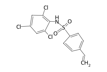 C=Cc1ccc(S(=O)(=O)Nc2c(Cl)cc(Cl)cc2Cl)cc1